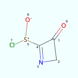 O=C1CN=C1[S+]([O-])Cl